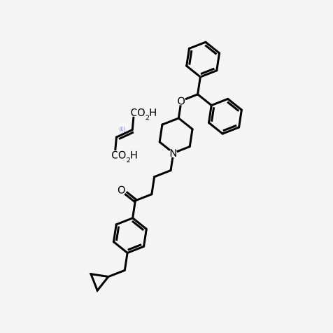 O=C(CCCN1CCC(OC(c2ccccc2)c2ccccc2)CC1)c1ccc(CC2CC2)cc1.O=C(O)/C=C/C(=O)O